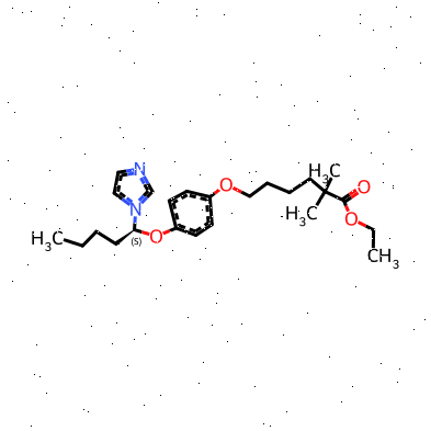 CCCC[C@H](Oc1ccc(OCCCCC(C)(C)C(=O)OCC)cc1)n1ccnc1